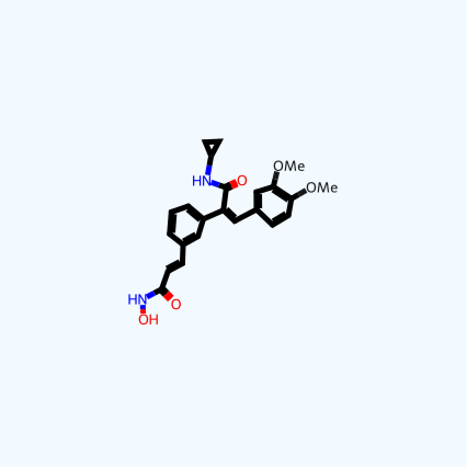 COc1ccc(C=C(C(=O)NC2CC2)c2cccc(/C=C/C(=O)NO)c2)cc1OC